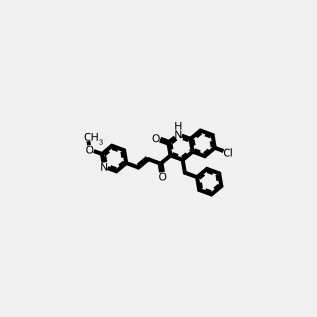 COc1ccc(/C=C/C(=O)c2c(Cc3ccccc3)c3cc(Cl)ccc3[nH]c2=O)cn1